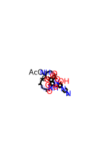 CC(=O)ONCC1C2C[C@H](C)CC(C)/C=C/C=C(/C)C(=O)Nc3c4oc5cc(N6CCC(N(C)C)CC6)cc(O)c5nc-4c4c5c(c(C)c(c4c3=O)O2)O[C@](C)(O/C=C/C[C@H]1C)C5=O